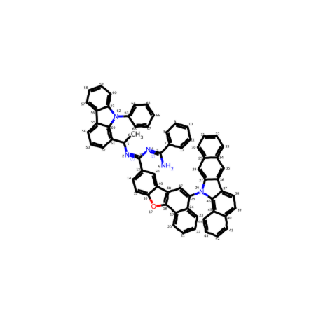 CC(/N=C(\N=C(/N)c1ccccc1)c1ccc2oc3c4ccccc4c(-n4c5cc6ccccc6cc5c5ccc6ccccc6c54)cc3c2c1)c1cccc2c3ccccc3n(-c3ccccc3)c12